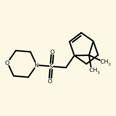 CC1(C)C2C=CC1(CS(=O)(=O)N1CCOCC1)CC2